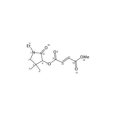 CCN1CC(C)(C)C(OC(=O)/C=C/C(=O)OC)C1=O